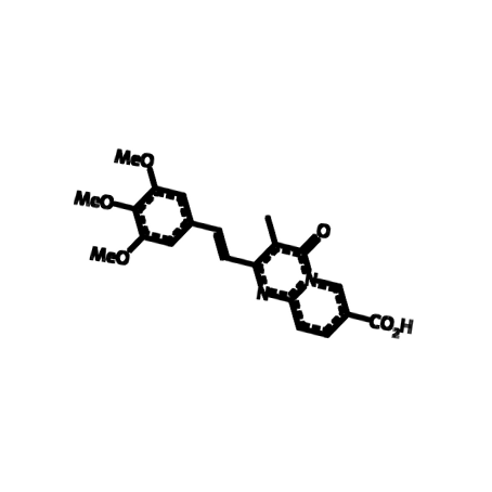 COc1cc(C=Cc2nc3ccc(C(=O)O)cn3c(=O)c2C)cc(OC)c1OC